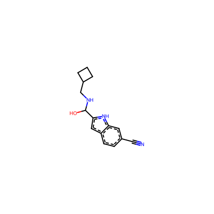 N#Cc1ccc2cc(C(O)NCC3CCC3)[nH]c2c1